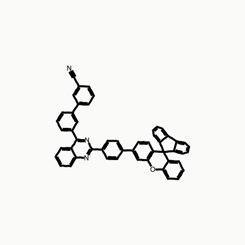 N#Cc1cccc(-c2cccc(-c3nc(-c4ccc(-c5ccc6c(c5)Oc5ccccc5C65c6ccccc6-c6ccccc65)cc4)nc4ccccc34)c2)c1